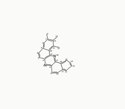 Cc1cc2ccc3nc4ccc5ccccc5c4nc3c2c(C)c1C